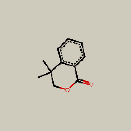 CC1(C)COC(=O)c2ccccc21